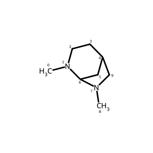 CN1CCC2CC1N(C)C2